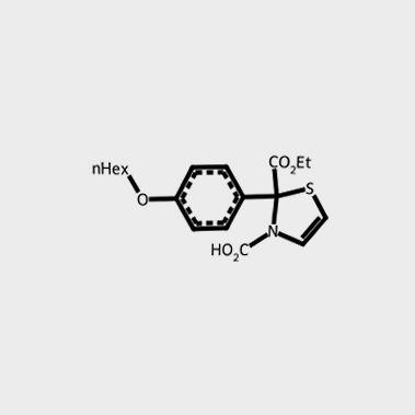 CCCCCCOc1ccc(C2(C(=O)OCC)SC=CN2C(=O)O)cc1